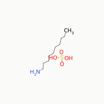 CCCCCCCCCCN.O=S(=O)(O)O